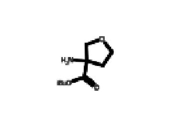 CC(C)COC(=O)C1(N)CCOC1